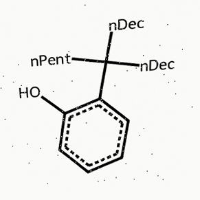 CCCCCCCCCCC(CCCCC)(CCCCCCCCCC)c1ccccc1O